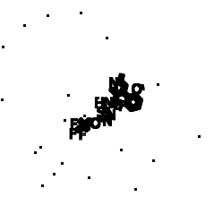 COc1cccc(F)c1-c1cc(C)ncc1C(=O)Nc1nnc(OCC(C)(C)C(F)(F)F)s1